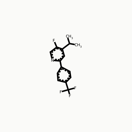 CC(C)c1cc(-c2ccc(C(F)(F)F)cc2)ncc1F